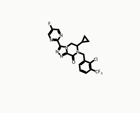 O=C1c2nnc(-c3ncc(F)cn3)n2CC(C2CC2)N1Cc1cccc(C(F)(F)F)c1Cl